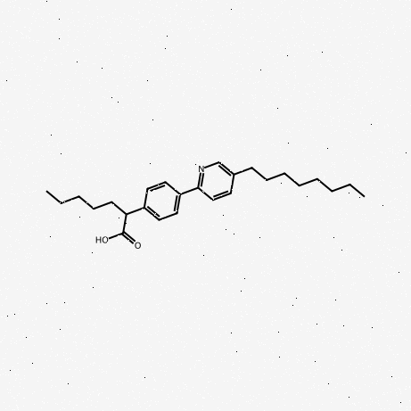 CCCCCCCCc1ccc(-c2ccc(C(CCCCC)C(=O)O)cc2)nc1